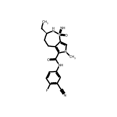 CC[C@@H]1CCc2c(cn(C)c2C(=O)Nc2ccc(F)c(C#N)c2)S(=N)(=O)N1